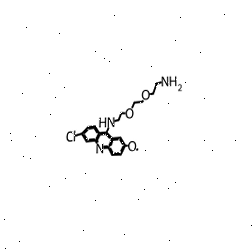 COc1ccc2nc3cc(Cl)ccc3c(NCCOCCOCCN)c2c1